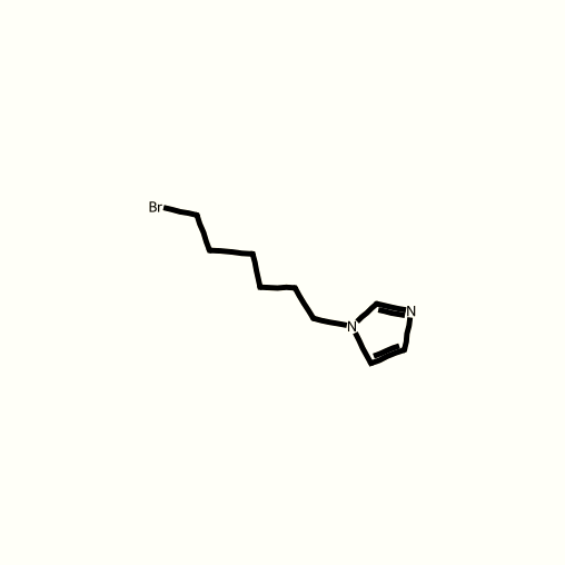 BrCCCCCCn1ccnc1